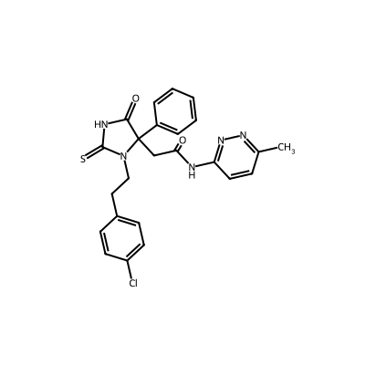 Cc1ccc(NC(=O)CC2(c3ccccc3)C(=O)NC(=S)N2CCc2ccc(Cl)cc2)nn1